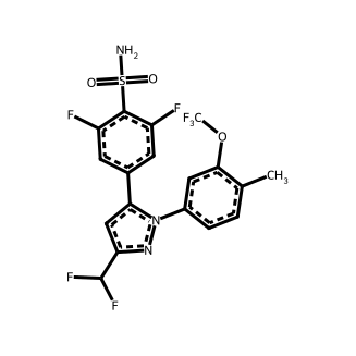 Cc1ccc(-n2nc(C(F)F)cc2-c2cc(F)c(S(N)(=O)=O)c(F)c2)cc1OC(F)(F)F